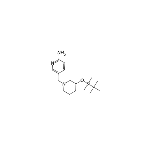 CC(C)(C)[Si](C)(C)OC1CCCN(Cc2ccc(N)nc2)C1